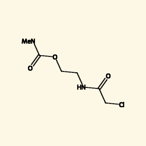 CNC(=O)OCCNC(=O)CCl